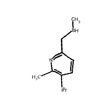 CBCc1ccc(C(C)C)c(C)n1